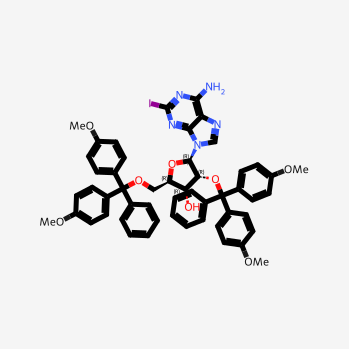 COc1ccc(C(OC[C@H]2O[C@@H](n3cnc4c(N)nc(I)nc43)[C@H](OC(c3ccccc3)(c3ccc(OC)cc3)c3ccc(OC)cc3)[C@@H]2O)(c2ccccc2)c2ccc(OC)cc2)cc1